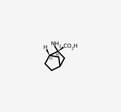 N[C@]1(C(=O)O)CC2CC[C@H]1C2